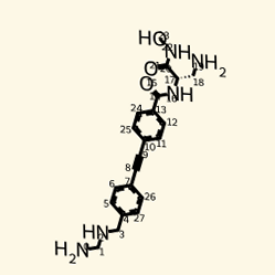 NCNCc1ccc(C#Cc2ccc(C(=O)N[C@@H](CN)C(=O)NO)cc2)cc1